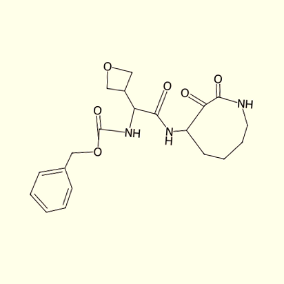 O=C(NC(C(=O)NC1CCCCNC(=O)C1=O)C1COC1)OCc1ccccc1